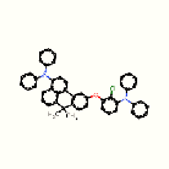 CC1(C)c2ccc(Oc3cccc(N(c4ccccc4)c4ccccc4)c3Cl)cc2-c2ccc(N(c3ccccc3)c3ccccc3)c3cccc1c23